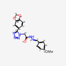 COc1ccc(C=NNC(=O)Cn2nnnc2-c2ccc3c(c2)OCO3)cc1